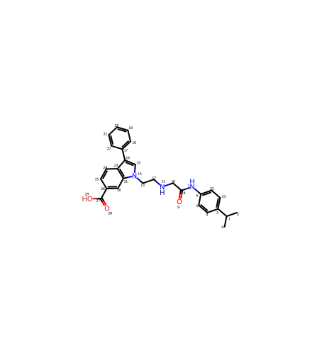 CC(C)c1ccc(NC(=O)CNCCn2cc(-c3ccccc3)c3ccc(C(=O)O)cc32)cc1